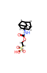 O=C(NC12CC3CC(CC(C3)C1)C2)OCCS(=O)(=O)O